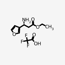 CCOC(=O)C[C@H](N)c1ccoc1.O=C(O)C(F)(F)F